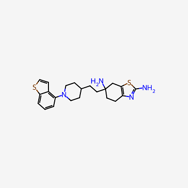 Nc1nc2c(s1)CC(N)(CCC1CCN(c3cccc4sccc34)CC1)CC2